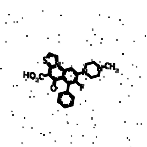 CN1CCN(c2cc3c(c(-c4ccccc4)c2F)c(=O)c(C(=O)O)c2sccn23)CC1